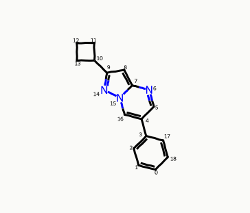 c1ccc(-c2cnc3cc(C4CCC4)nn3c2)cc1